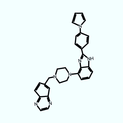 c1cc(N2CCN(Cc3ccc4nccnc4c3)CC2)c2nc(-c3ccc(-n4cccc4)cc3)[nH]c2c1